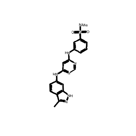 CNS(=O)(=O)c1cccc(Nc2cc(Nc3ccc4c(C)n[nH]c4c3)ncn2)c1